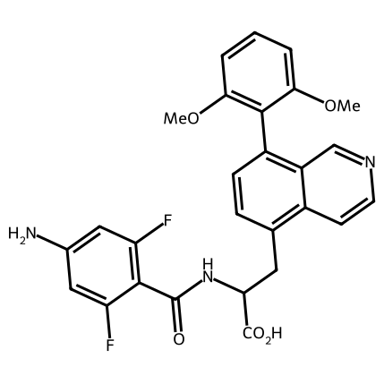 COc1cccc(OC)c1-c1ccc(CC(NC(=O)c2c(F)cc(N)cc2F)C(=O)O)c2ccncc12